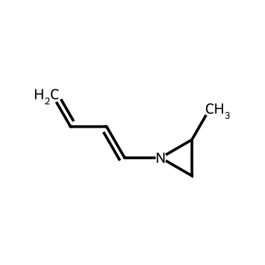 C=CC=CN1CC1C